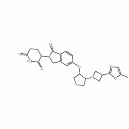 Cc1cnc(C2CN([C@H]3CCC[C@H]3Oc3ccc4c(c3)CN(C3CCC(=O)NC3=O)C4=O)C2)o1